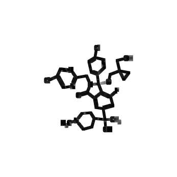 CN1CCC(C(C)(O)c2cc(F)c3c(c2)C(=O)N(Cc2ncc(Cl)cn2)[C@@]3(OCC2(CO)CC2)c2ccc(Cl)cc2)CC1